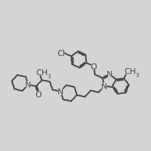 Cc1cccc2c1nc(COc1ccc(Cl)cc1)n2CCCC1CCN(CCC(C)C(=O)N2CCCCC2)CC1